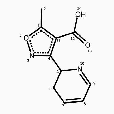 Cc1onc(C2CC=CC=N2)c1C(=O)O